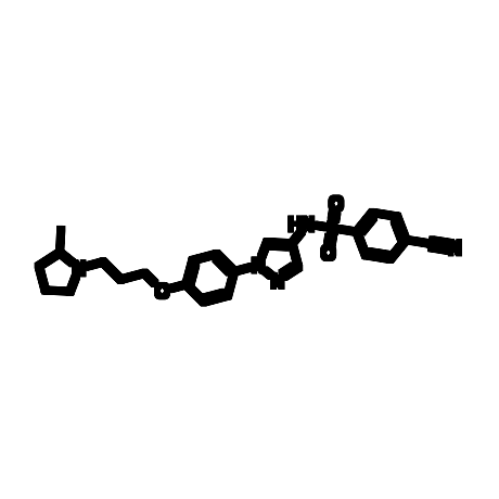 CC1CCCN1CCCOc1ccc(-n2cc(NS(=O)(=O)c3ccc(C#N)cc3)cn2)cc1